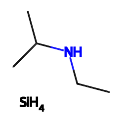 CCNC(C)C.[SiH4]